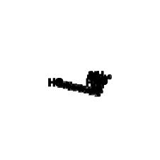 CCOc1cc(-c2ccc[nH]2)[nH]c1C=C1C=CC(CCCCCCCCCCCCCO)=N1